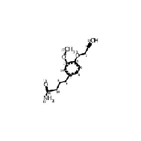 C#CCOc1ccc(CCCC(N)=O)cc1OC